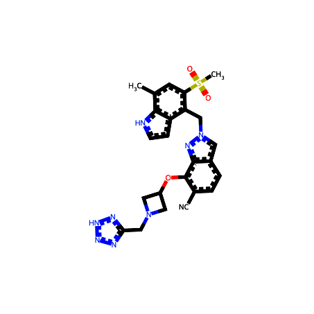 Cc1cc(S(C)(=O)=O)c(Cn2cc3ccc(C#N)c(OC4CN(Cc5nn[nH]n5)C4)c3n2)c2cc[nH]c12